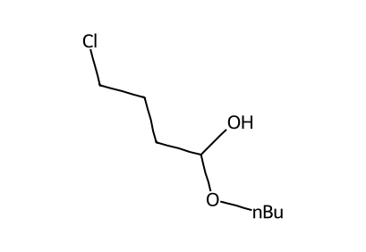 CCCCOC(O)CCCCl